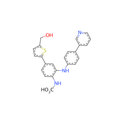 O=C(O)Nc1ccc(-c2ccc(CO)s2)cc1Nc1ccc(-c2cccnc2)cc1